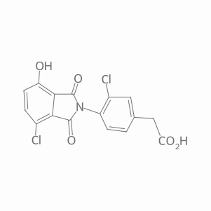 O=C(O)Cc1ccc(N2C(=O)c3c(O)ccc(Cl)c3C2=O)c(Cl)c1